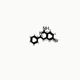 NC1=NC(c2ccccc2)Cc2cc(Br)ccc21